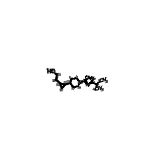 CC(C)c1noc(N2CCC(C3CC3CCO)CC2)n1